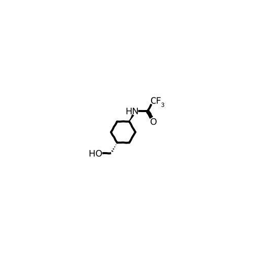 O=C(N[C@H]1CC[C@H](CO)CC1)C(F)(F)F